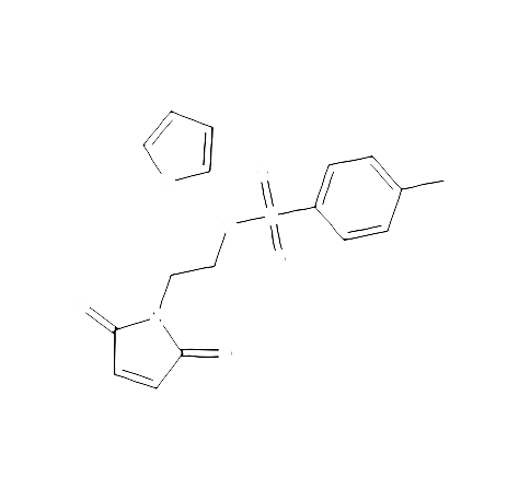 Cc1ccc(S(=O)(=O)OCCN2C(=O)C=CC2=O)cc1.c1ccoc1